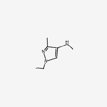 CCn1cc(NC)c(C)n1